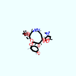 CC[C@H]1OC(=O)[C@H](C)C(O[C@@H]2CC[C@@H](C)C[C@](C)(OC)C2)[C@H](C)[C@@H](OC2O[C@H](C)C[C@H](N(C)C)[C@H]2C)[C@](C)(O)C[C@@H](C)CN[C@H](C)[C@@H](O[Si](C)(C)C(C)(C)C)[C@]1(C)O